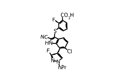 CCCn1cc(-c2c(Cl)ccc3c(Sc4cccc(C(=O)O)c4F)c(C#N)[nH]c23)c(F)n1